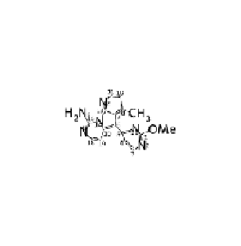 COc1nccc(-c2c3c(C)ccnc3n3c(N)nccc23)n1